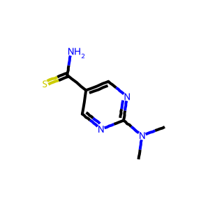 CN(C)c1ncc(C(N)=S)cn1